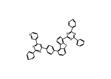 c1ccc(-c2nc(-c3ccc(-c4cccc5sc6c(-c7nc(-c8ccccc8)nc(-c8ccccc8)n7)cccc6c45)cc3)cc(-c3cccnc3)n2)cc1